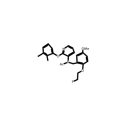 COc1ccc(OCCF)c(CN(C(C)=O)c2cccnc2Oc2cccc(C)c2C)c1